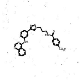 O=C(O)c1ccc(C(=O)NCCCn2cc(-c3cccc(Nc4ncnc5ccccc45)c3)nn2)cc1